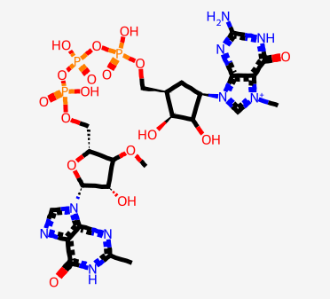 COC1[C@@H](COP(=O)(O)OP(=O)(O)OP(=O)(O)OC[C@H]2C[C@@H](n3c[n+](C)c4c(=O)[nH]c(N)nc43)C(O)[C@H]2O)O[C@@H](n2cnc3c(=O)[nH]c(C)nc32)[C@H]1O